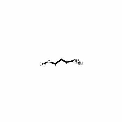 CCOCCC[SiH2]S